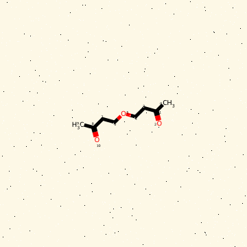 CC(=O)CCOCCC(C)=O